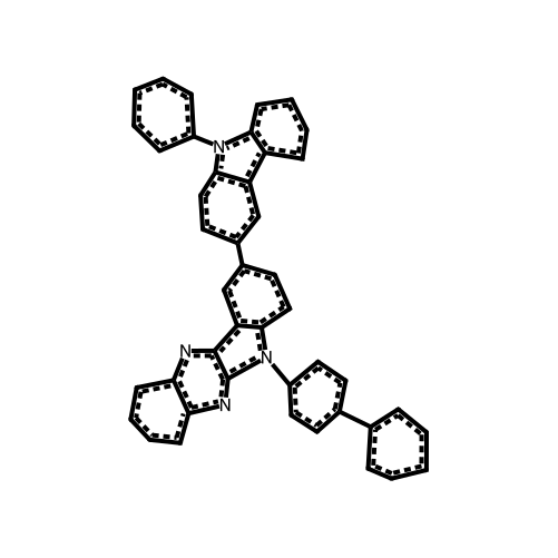 c1ccc(-c2ccc(-n3c4ccc(-c5ccc6c(c5)c5ccccc5n6-c5ccccc5)cc4c4nc5ccccc5nc43)cc2)cc1